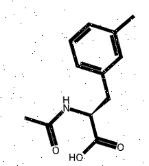 CC(=O)N[C@@H](Cc1cccc(C)c1)C(=O)O